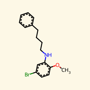 COc1ccc(Br)cc1NCCCCc1ccccc1